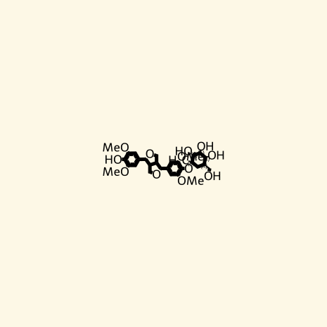 COc1cc(C2OCC3C(c4cc(OC)c(O[C@]5(C)C[C@H](CO)[C@@H](O)[C@H](O)[C@H]5O)c(OC)c4)OCC23)cc(OC)c1O